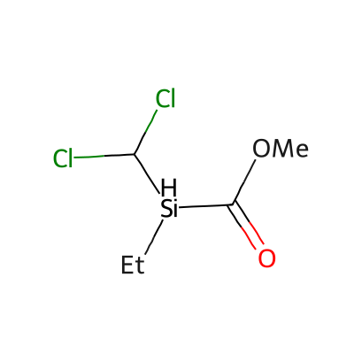 CC[SiH](C(=O)OC)C(Cl)Cl